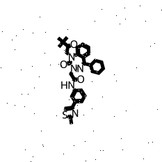 Cc1nc(-c2cccc(NC(=O)CN3N=C(C4CCCCC4)c4ccccc4N(CC(=O)C(C)(C)C)C3=O)c2)cs1